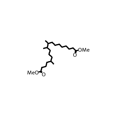 COC(=O)CCCCCCCC(C)C(C)CCCC(C)CCCC(=O)OC